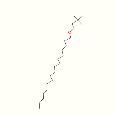 CCCCCCCCCCCCCCCCCOCCC(C)(C)C